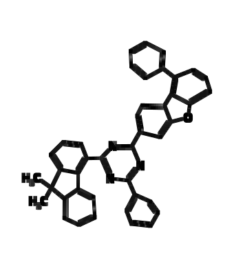 CC1(C)c2ccccc2-c2c(-c3nc(-c4ccccc4)nc(-c4ccc5c(c4)oc4cccc(-c6ccccc6)c45)n3)cccc21